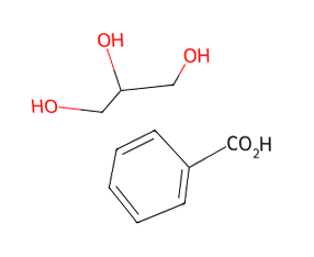 O=C(O)c1ccccc1.OCC(O)CO